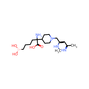 CN/C(=C\C(C)=N)CN1CCC(C(N)(CCCCB(O)O)C(=O)O)CC1